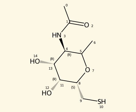 CC(=O)N[C@H]1C(C)O[C@H](CS)[C@H](O)[C@@H]1O